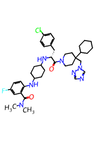 CN(C)C(=O)c1cc(F)ccc1NC1CCC(N[C@H](Cc2ccc(Cl)cc2)C(=O)N2CCC(Cn3cncn3)(C3CCCCC3)CC2)CC1